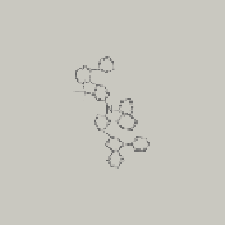 CC1(C)c2cc(N(c3cccc(-c4cc(-c5ccccc5)c5ccccc5c4)c3)c3cccc4ccccc34)ccc2-c2c(-c3ccccc3)cccc21